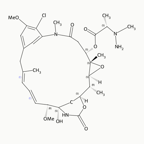 COc1cc2cc(c1Cl)N(C)C(=O)C[C@H](OC(=O)[C@H](C)N(C)N)[C@]1(C)O[C@H]1[C@H](C)[C@@H]1C[C@@](O)(NC(=O)O1)[C@H](OC)/C=C/C=C(\C)C2